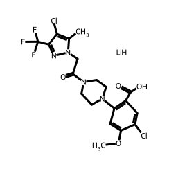 COc1cc(N2CCN(C(=O)Cn3nc(C(F)(F)F)c(Cl)c3C)CC2)c(C(=O)O)cc1Cl.[LiH]